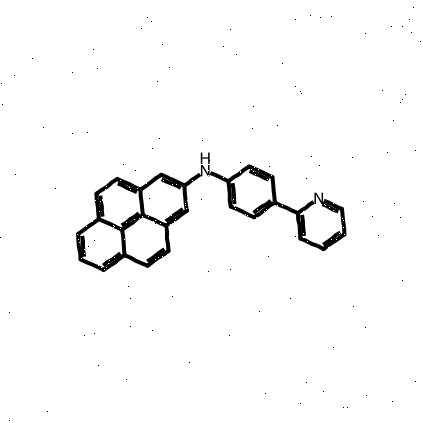 c1ccc(-c2ccc(Nc3cc4ccc5cccc6ccc(c3)c4c56)cc2)nc1